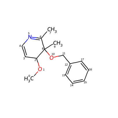 COC1C=CN=C(C)C1(C)OCc1ccccc1